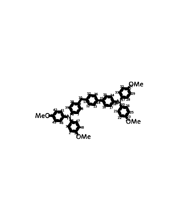 COc1ccc(N(c2ccc(Cc3ccc(-c4ccc(N(c5ccc(OC)cc5)c5ccc(OC)cc5)cc4)cc3)cc2)c2ccc(OC)cc2)cc1